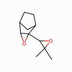 CC1(C)OC1C12OC1C1CCC2C1